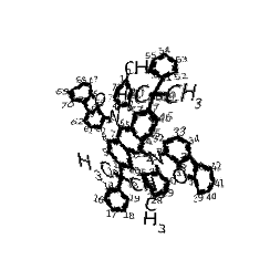 Cc1ccc(N(c2c3ccc(C(C)(C)c4ccccc4)cc3c(N(c3ccc(C)cc3)c3cccc4c3oc3ccccc34)c3ccc(C(C)(C)c4ccccc4)cc23)c2cccc3c2oc2ccccc23)cc1